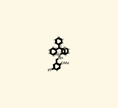 COc1ccc(C(C)C)cc1CNNC1C2CCN(CC2)C1C(c1ccccc1)c1ccccc1